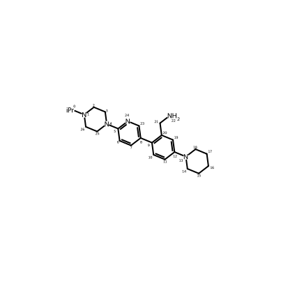 CC(C)N1CCN(c2ccc(-c3ccc(N4CCCCC4)cc3CN)cn2)CC1